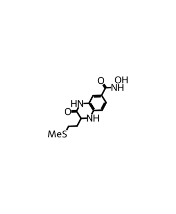 CSCCC1Nc2ccc(C(=O)NO)cc2NC1=O